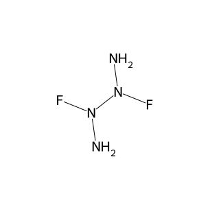 NN(F)N(N)F